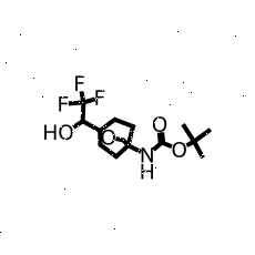 CC(C)(C)OC(=O)NC12CCC(C(O)C(F)(F)F)(CC1)OC2